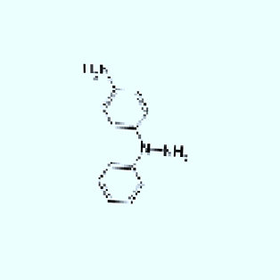 Nc1ccc(N(N)c2ccccc2)cc1